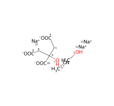 CC#N.CO.O=C([O-])CC(O)(CC(=O)[O-])C(=O)[O-].[Na+].[Na+].[Na+]